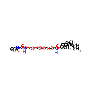 CC(C)CCC[C@@H](C)[C@H]1CCC2C3CC=C4C[C@@H](OC(=O)NCCOCCOCCOCCOCCOCCOCCOCCNC(=O)CCC(=O)[N][C@H](C=O)Cc5ccccc5)CC[C@]4(C)C3CC[C@@]21C